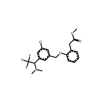 COC(=O)Cc1ccccc1OCc1cc(Cl)cc(C(N(C)C)C(F)(F)F)c1